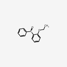 CCOc1ccccc1[P](=O)c1ccccc1